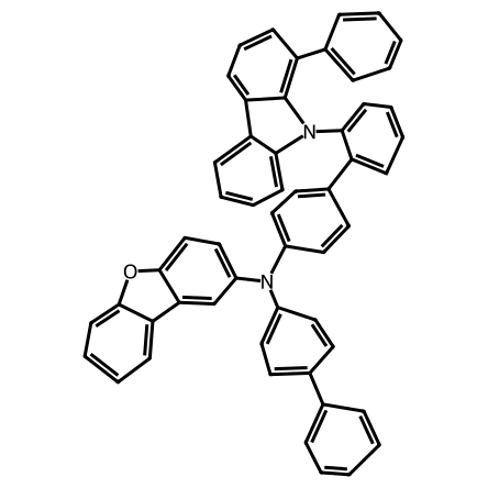 c1ccc(-c2ccc(N(c3ccc(-c4ccccc4-n4c5ccccc5c5cccc(-c6ccccc6)c54)cc3)c3ccc4oc5ccccc5c4c3)cc2)cc1